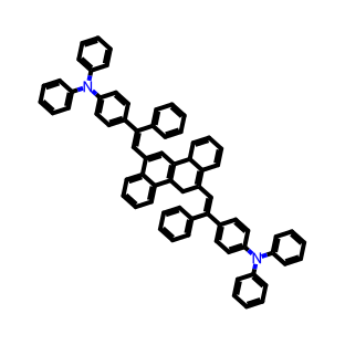 C1=CC2=C(C=C(c3ccccc3)c3ccc(N(c4ccccc4)c4ccccc4)cc3)Cc3c(cc(C=C(c4ccccc4)c4ccc(N(c5ccccc5)c5ccccc5)cc4)c4ccccc34)C2C=C1